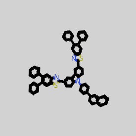 c1ccc(-c2cc3nc(-c4ccc5c(c4)c4cc(-c6nc7cc(-c8ccccc8)c(-c8ccccc8)cc7s6)ccc4n5-c4ccc(-c5ccc6ccccc6c5)cc4)sc3cc2-c2ccccc2)cc1